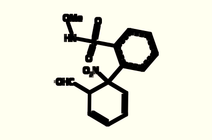 CONS(=O)(=O)c1ccccc1C1([N+](=O)[O-])C=CC=CC1[C]=O